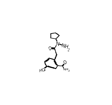 NC(=O)c1cc(O)ccc1CC(=O)N(N)C1CCCC1